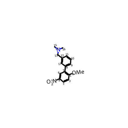 COc1ccc([N+](=O)[O-])cc1-c1cccc(CN(C)C)c1